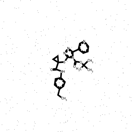 CCc1ccc(NC(=O)C2(Sc3nnc(-c4cccnc4)n3C(=O)OC(C)(C)C)CC2)cc1